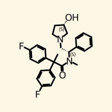 CN(C(=O)C(C)(c1ccc(F)cc1)c1ccc(F)cc1)[C@H](CN1CC[C@H](O)C1)c1ccccc1